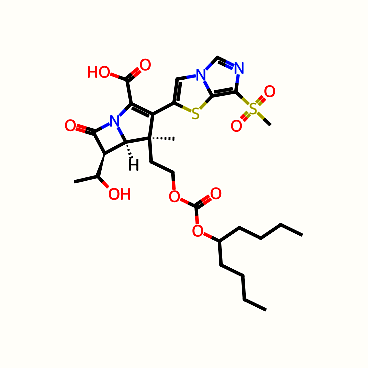 CCCCC(CCCC)OC(=O)OCC[C@]1(C)C(c2cn3cnc(S(C)(=O)=O)c3s2)=C(C(=O)O)N2C(=O)[C@H](C(C)O)[C@@H]21